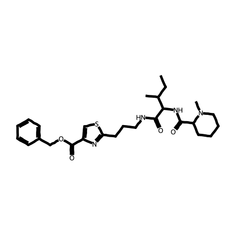 CCC(C)C(NC(=O)C1CCCCN1C)C(=O)NCCCc1nc(C(=O)OCc2ccccc2)cs1